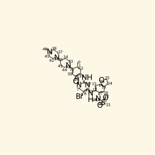 Cc1cc(Nc2ncc(Br)c(Nc3cc4c(cc3N(C)S(C)(=O)=O)CCO4)n2)c(Cl)cc1N1CCC(N2CCN(C)CC2)CC1